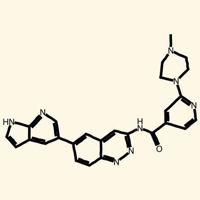 CN1CCN(c2cc(C(=O)Nc3cc4cc(-c5cnc6[nH]ccc6c5)ccc4nn3)ccn2)CC1